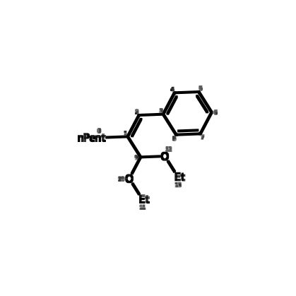 CCCCC/C(=C/c1ccccc1)C(OCC)OCC